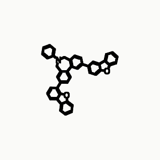 c1ccc(N2Cc3cc(-c4cccc5c4oc4ccccc45)ccc3-c3cc(-c4ccc5oc6ccccc6c5c4)ccc3C2)cc1